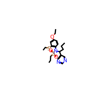 CCCC(c1cncnc1)N(c1ccc(OCC)cc1SCC)S(=O)(=O)CCC